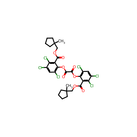 CC1(COC(=O)c2c(Cl)c(Cl)cc(Cl)c2OC(=O)C(=O)Oc2c(Cl)cc(Cl)c(Cl)c2C(=O)OCC2(C)CCCC2)CCCC1